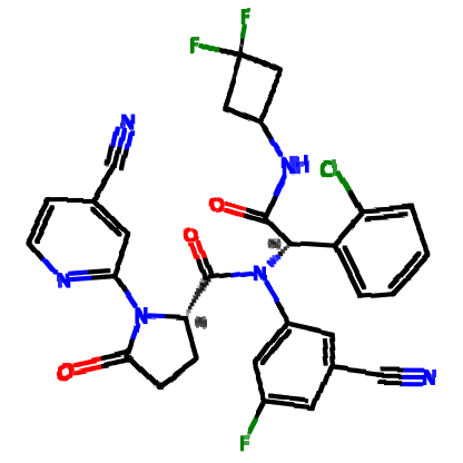 N#Cc1cc(F)cc(N(C(=O)[C@@H]2CCC(=O)N2c2cc(C#N)ccn2)[C@H](C(=O)NC2CC(F)(F)C2)c2ccccc2Cl)c1